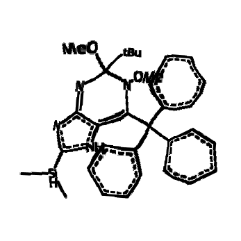 CON1C(C(c2ccccc2)(c2ccccc2)c2ccccc2)=c2[nH]c([SiH](C)C)nc2=NC1(OC)C(C)(C)C